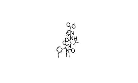 COC(=O)c1csc(NC(=O)C(CC(C)C)N2C(=O)NC(c3cccc(I)c3)C2=O)n1